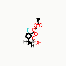 O=C(OCOC(=O)C1CC1)c1c(F)ccc2c1OB(O)[C@@H]1C[C@H]21